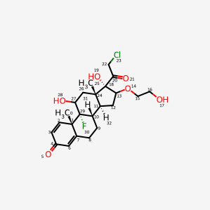 C[C@]12C=CC(=O)C=C1CC[C@H]1[C@@H]3CC(OCCO)[C@](O)(C(=O)CCl)[C@@]3(C)CC(O)[C@@]12F